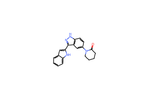 O=C1CCCCN1c1ccc2[nH]nc(-c3cc4ccccc4[nH]3)c2c1